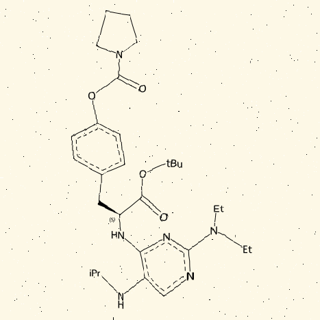 CCN(CC)c1ncc(NC(C)C)c(N[C@@H](Cc2ccc(OC(=O)N3CCCC3)cc2)C(=O)OC(C)(C)C)n1